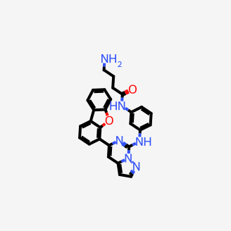 NCCCC(=O)Nc1cccc(Nc2nc(-c3cccc4c3oc3ccccc34)cc3ccnn23)c1